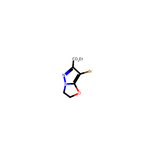 CCOC(=O)c1nn2c(c1Br)OCC2